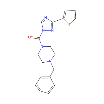 O=C(N1CCN(Cc2ccccc2)CC1)n1cnc(-c2cccs2)n1